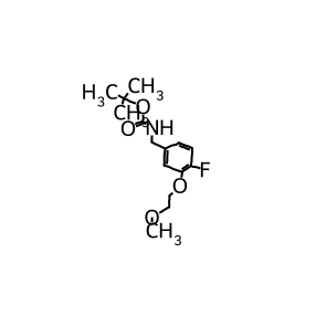 COCCOc1cc(CNC(=O)OC(C)(C)C)ccc1F